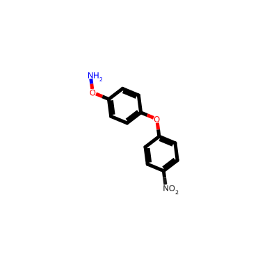 NOc1ccc(Oc2ccc([N+](=O)[O-])cc2)cc1